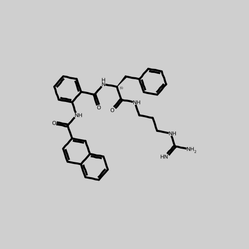 N=C(N)NCCCNC(=O)[C@H](Cc1ccccc1)NC(=O)c1ccccc1NC(=O)c1ccc2ccccc2c1